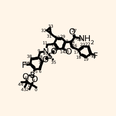 CC1(C)OB(c2ccc(CN(Cc3cc4oc(-c5ccc(F)cc5)c(C(N)=O)c4cc3C3CC3)S(C)(=O)=O)cc2F)OC1(C)C